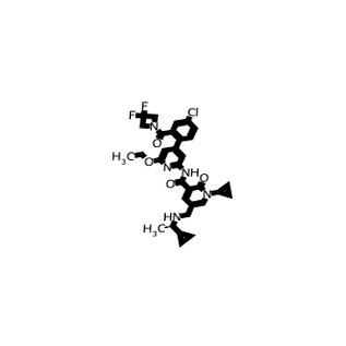 CCOc1cc(-c2ccc(Cl)cc2C(=O)N2CC(F)(F)C2)cc(NC(=O)c2cc(CN[C@@H](C)C3CC3)cn(C3CC3)c2=O)n1